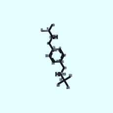 CC(C)NCc1ccc(CNC(C)(C)C)cc1